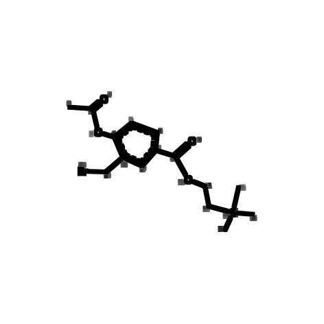 CC(=O)Oc1ccc(C(=O)OCC[Si](C)(C)C)cc1CBr